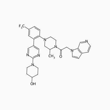 CC1CN(c2ccc(C(F)(F)F)cc2-c2cnc(N3CCC(O)CC3)nc2)CCN1C(=O)Cn1ccc2ccncc21